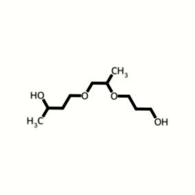 CC(O)CCOCC(C)OCCCO